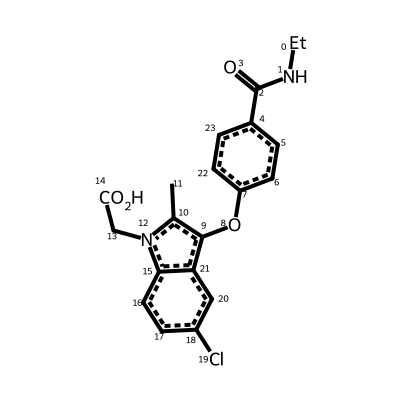 CCNC(=O)c1ccc(Oc2c(C)n(CC(=O)O)c3ccc(Cl)cc23)cc1